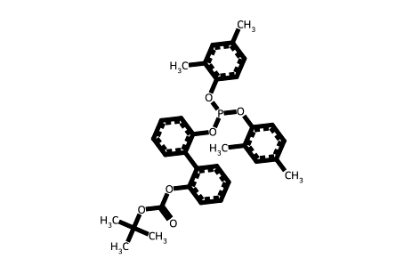 Cc1ccc(OP(Oc2ccc(C)cc2C)Oc2ccccc2-c2ccccc2OC(=O)OC(C)(C)C)c(C)c1